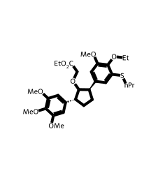 CCCSc1cc([C@H]2CC[C@H](c3cc(OC)c(OC)c(OC)c3)C2OCC(=O)OCC)cc(OC)c1OCC